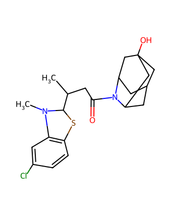 CC(CC(=O)N1C2CC3CC1CC(O)(C3)C2)C1Sc2ccc(Cl)cc2N1C